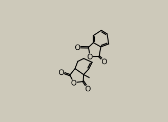 CC12C=CCCC1C(=O)OC2=O.O=C1OC(=O)c2ccccc21